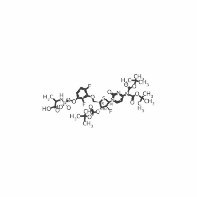 CC(NP(=O)(O)OOc1ccc(F)c(OC[C@H]2S[C@@H](n3ccc(N(C(=O)OC(C)(C)C)C(=O)OC(C)(C)C)nc3=O)[C@@H](F)[C@@H]2OC(=O)OC(C)(C)C)c1F)C(=O)O